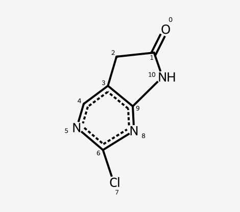 O=C1Cc2cnc(Cl)nc2N1